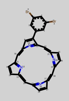 Brc1cc(Br)cc(C2=CC3=CC4=NC(=CC5=NC(=CC6=NC(=CC2=N3)C=C6)C=C5)C=C4)c1